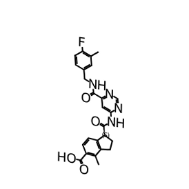 Cc1cc(CNC(=O)c2cc(NC(=O)[C@H]3CCc4c3ccc(C(=O)O)c4C)ncn2)ccc1F